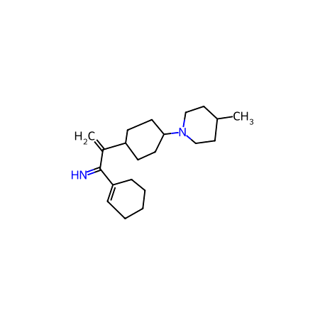 C=C(C(=N)C1=CCCCC1)C1CCC(N2CCC(C)CC2)CC1